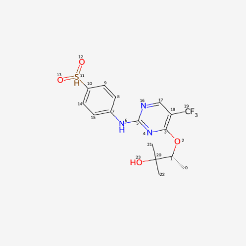 C[C@@H](Oc1nc(Nc2ccc([SH](=O)=O)cc2)ncc1C(F)(F)F)C(C)(C)O